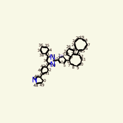 C=C(/C=C\C(=C)c1ccccccc(-c2ccccccccc2)c2ccccc12)c1nc(-c2ccccc2)cc(C2C=CC(C3C=NC=CC3)=CC2)n1